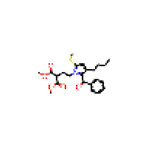 CCCCc1cc(SC)n(CCC(C(=O)OC)C(=O)OC)c1C(=O)c1ccccc1